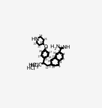 Cl.Cl.N=C(N)c1ccc2ccc(CC(C(=O)O)c3ccc(OC4CCNCC4)cc3)cc2c1